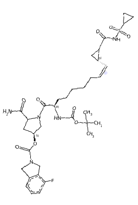 CC(C)(C)OC(=O)N[C@H](CCCCC/C=C\[C@@H]1CC1C(=O)NS(=O)(=O)C1CC1)C(=O)N1C[C@@H](OC(=O)N2Cc3cccc(F)c3C2)CC1C(N)=O